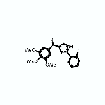 COc1cc(C(=O)c2c[nH]c(-c3ccccc3F)n2)cc(OC)c1OC